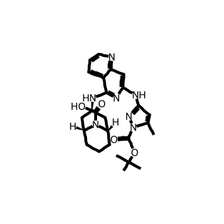 Cc1cc(Nc2cc3ncccc3c(N[C@@H]3C[C@H]4CCC[C@@H](C3)N4C(=O)O)n2)nn1C(=O)OC(C)(C)C